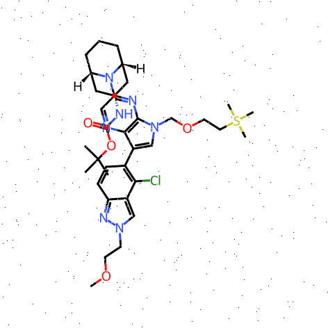 COCCn1cc2c(Cl)c(-c3cn(COCCS(C)(C)C)c4nc(N5[C@@H]6CCC[C@H]5C[C@@H](NC(=O)OC(C)(C)C)C6)cnc34)ccc2n1